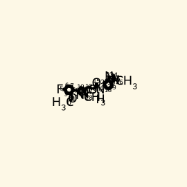 COc1cc(F)ccc1-c1cc(COC(=O)Nc2ccc3c(c2)ncn3C)n(C)n1